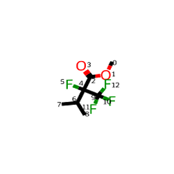 COC(=O)C(F)(C(C)C)C(F)(F)F